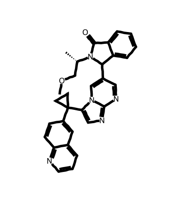 COC[C@H](C)N1C(=O)c2ccccc2C1c1cnc2ncc(C3(c4ccc5ncccc5c4)CC3)n2c1